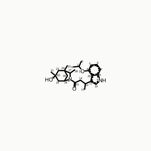 CC(C)Oc1cccc2[nH]cc(C(C)CC(=O)N3C4CC(C)(O)CC(C)(C4)C3C)c12